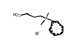 CCCCCCCCCCC[N+](C)(C)c1ccccc1.[Br-]